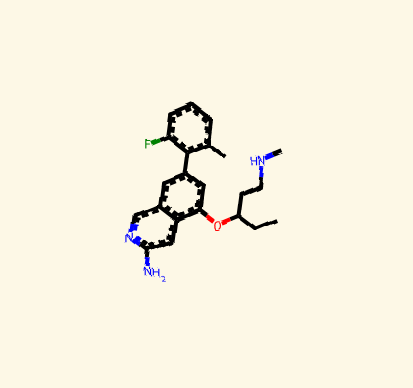 CCC(CCNC)Oc1cc(-c2c(C)cccc2F)cc2cnc(N)cc12